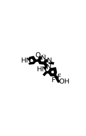 Cc1nc(NC(C)c2cccc(C(F)(F)CO)c2)c2cc(C3=CCNCC3)c(=O)n(C)c2n1